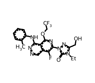 CCn1c(CO)nn(-c2nc(OCC(F)(F)F)c3c(Nc4ccccc4C)nncc3c2F)c1=O